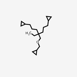 CCC(CCCC1CC1)(CCCC1CC1)COCC1CC1